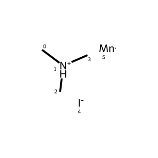 C[NH+](C)C.[I-].[Mn]